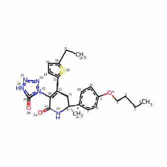 CCCCOc1ccc([C@]2(C)CC(c3ccc(CC)s3)=C(n3nn[nH]c3=O)C(=O)N2)cc1